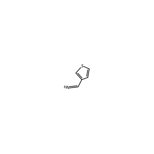 N=Cc1ccsc1